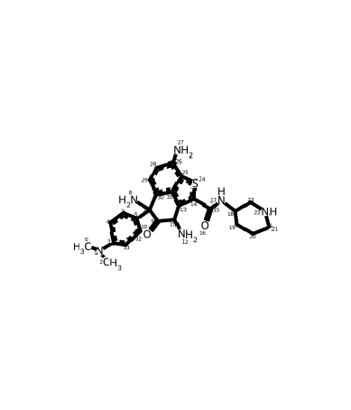 CN(C)c1ccc(C2(N)C(=O)C(N)c3c(C(=O)NC4CCCNC4)sc4c(N)ccc2c34)cc1